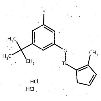 CC1=[C]([Ti][O]c2cc(F)cc(C(C)(C)C)c2)CC=C1.Cl.Cl